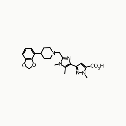 Cc1c(-c2cc(C(=O)O)n(C)n2)nc(CN2CCC(c3cccc4c3OCO4)CC2)n1C